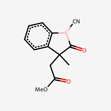 COC(=O)CC1(C)C(=O)B(C#N)c2ccccc21